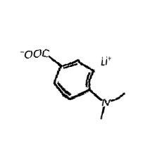 CN(C)c1ccc(C(=O)[O-])cc1.[Li+]